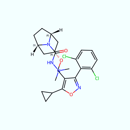 CN(C)NC(=O)N1[C@@H]2CC[C@H]1C[C@@H](OCc1c(-c3c(Cl)cccc3Cl)noc1C1CC1)C2